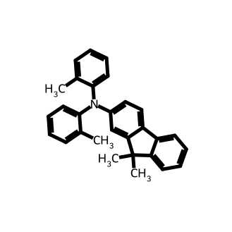 Cc1ccccc1N(c1ccc2c(c1)C(C)(C)c1ccccc1-2)c1ccccc1C